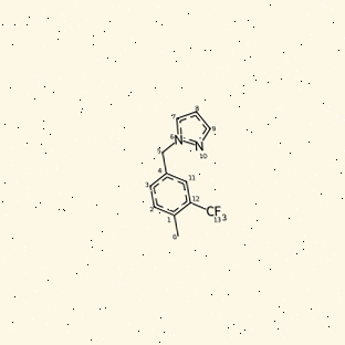 Cc1ccc(Cn2cccn2)cc1C(F)(F)F